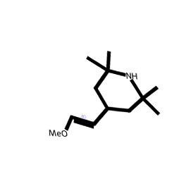 CO/C=C/C1CC(C)(C)NC(C)(C)C1